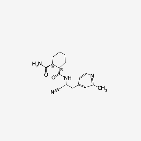 Cc1cc(CC(C#N)NC(=O)[C@@H]2CCCC[C@@H]2C(N)=O)ccn1